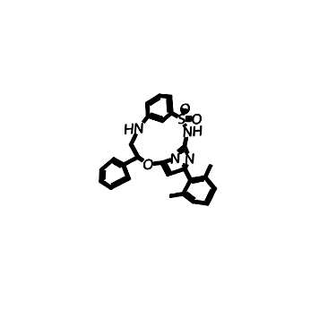 Cc1cccc(C)c1-c1cc2nc(n1)NS(=O)(=O)c1cccc(c1)NCC(c1ccccc1)O2